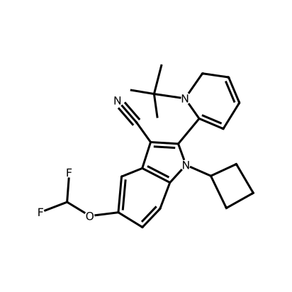 CC(C)(C)N1CC=CC=C1c1c(C#N)c2cc(OC(F)F)ccc2n1C1CCC1